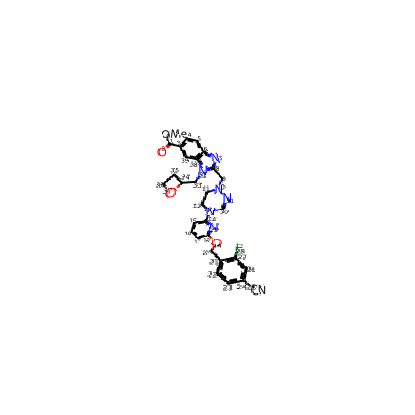 COC(=O)c1ccc2nc(CN3CCN(c4cccc(OCc5ccc(C#N)cc5F)n4)C=N3)n(CC3CCO3)c2c1